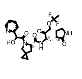 CC(F)(F)OCC(=O)[C@H](C[C@@H]1CCNC1=O)NC(=O)[C@@H]1CC2(CC2)CN1C(=O)C(O)c1ccccn1